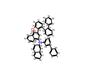 c1ccc(-c2cccc(N(c3ccc4ccccc4c3)c3cc4c(oc5cccc(-c6ccccc6-c6ccccc6)c54)c4ccccc34)c2)cc1